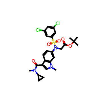 CN(C(=O)c1cn(C)c2cc(N(CC(=O)OC(C)(C)C)S(=O)(=O)c3cc(Cl)cc(Cl)c3)ccc12)C1CC1